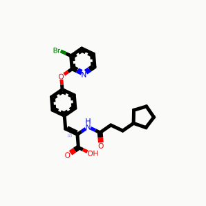 O=C(CCC1CCCC1)N/C(=C\c1ccc(Oc2ncccc2Br)cc1)C(=O)O